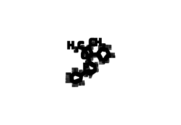 Cc1oc(C2=CC3C=C(c4ccccc4)P2C3)c(-c2ccccc2)c1C